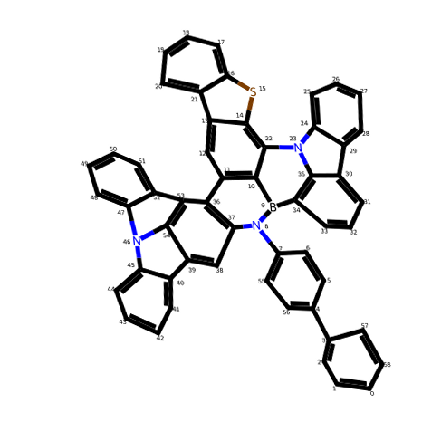 c1ccc(-c2ccc(N3B4c5c(cc6c(sc7ccccc76)c5-n5c6ccccc6c6cccc4c65)-c4c3cc3c5ccccc5n5c6ccccc6c4c35)cc2)cc1